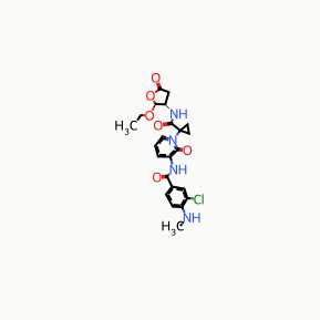 CCO[C@H]1OC(=O)C[C@@H]1NC(=O)C1(n2cccc(NC(=O)c3ccc(NC)c(Cl)c3)c2=O)CC1